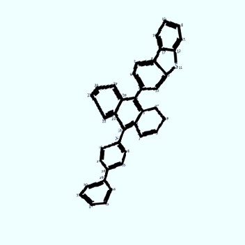 C1=Cc2c(c(-c3ccc4c(c3)sc3ccccc34)c3ccccc3c2-c2ccc(-c3ccccc3)cc2)CC1